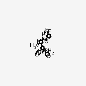 BC1(Oc2ncc(-c3cc(NC(=O)c4cccc(C(F)(F)F)c4)cnc3C)cc2N2CCOCC2)CCOCC1